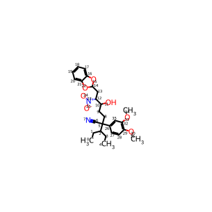 CCC(CC)C(C#N)(CCC(O)C(CC1Oc2ccccc2O1)[N+](=O)[O-])c1ccc(OC)c(OC)c1